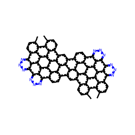 Cc1ccc2c3nnnc4c5nnnc6c7ccc8c9cc%10c%11ccc(C)c%12c%13c(C)ccc%14c%15nnnc%16c%17nnnc%18c%19ccc%20c%21cc%22c%23ccc(C)c%24c1c2c1c(c34)c(c65)c2c7c8c(c%21c9c3c%20c%19c4c(c%18%17)c(c%15%16)c(c%14%13)c(c%11%12)c4c%103)c%22c2c1c%23%24